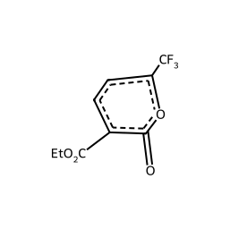 CCOC(=O)c1ccc(C(F)(F)F)oc1=O